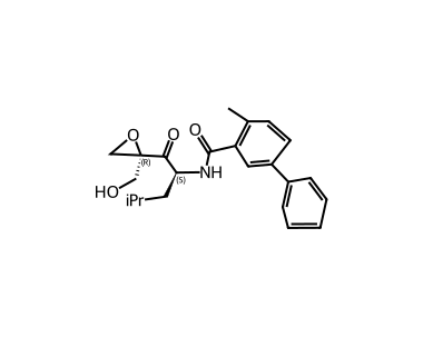 Cc1ccc(-c2ccccc2)cc1C(=O)N[C@@H](CC(C)C)C(=O)[C@@]1(CO)CO1